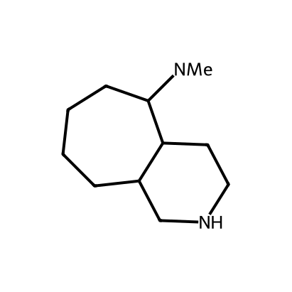 CNC1CCCCC2CNCCC21